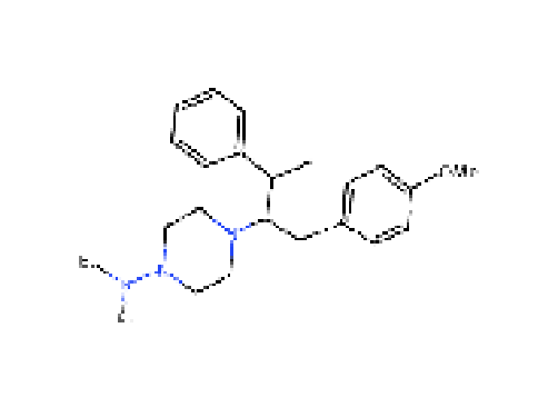 CCN(CC)N1CCN(C(Cc2ccc(OC)cc2)C(C)c2ccccc2)CC1